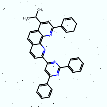 CC(C)c1cc(C2=CCCC=C2)nc2c1ccc1ccc(-c3cc(-c4ccccc4)nc(-c4ccccc4)n3)nc12